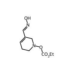 CCOC(=O)ON1CCC=C(C=NO)C1